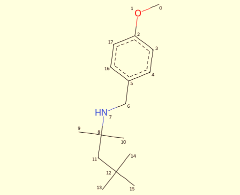 COc1ccc(CNC(C)(C)CC(C)(C)C)cc1